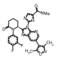 CNC(=O)c1cnc(-n2c([C@@H]3CCCC(=O)N3c3ccc(F)c(F)c3)nc3cc(-c4c(C)noc4C)cnc32)s1